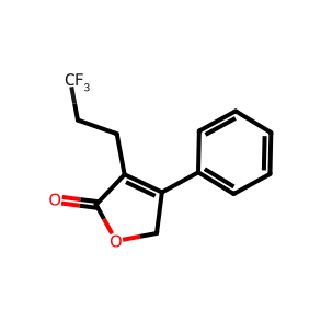 O=C1OCC(c2ccccc2)=C1CCC(F)(F)F